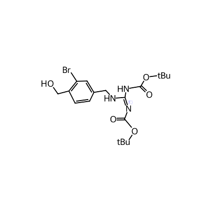 CC(C)(C)OC(=O)/N=C(\NCc1ccc(CO)c(Br)c1)NC(=O)OC(C)(C)C